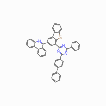 c1ccc(-c2ccc(-c3nc(-c4ccccc4)nc(-c4cc(-c5nc6ccccc6c6ccccc56)cc5c4sc4ccccc45)n3)cc2)cc1